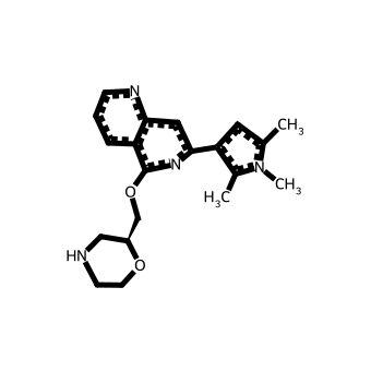 Cc1cc(-c2cc3ncccc3c(OC[C@@H]3CNCCO3)n2)c(C)n1C